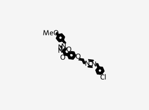 COc1ccc(Cn2nnc3c(=O)c4ccc(OCCCN5CCN(Cc6ccc(Cl)cc6)CC5)cc4oc32)cc1